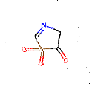 O=C1CN=CS1(=O)=O